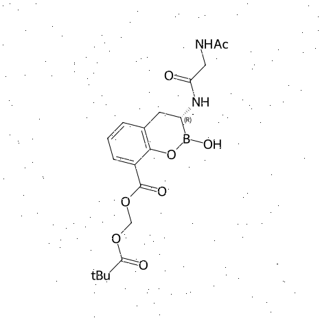 CC(=O)NCC(=O)N[C@H]1Cc2cccc(C(=O)OCOC(=O)C(C)(C)C)c2OB1O